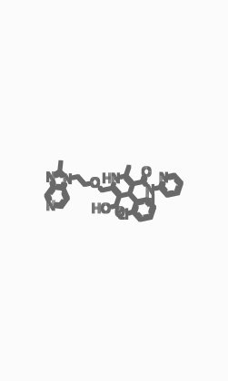 CC1=C(C(=O)Nc2ccccn2)C(c2ccccc2Cl)C(C(=O)O)=C(COCCn2c(C)nc3cnccc32)N1